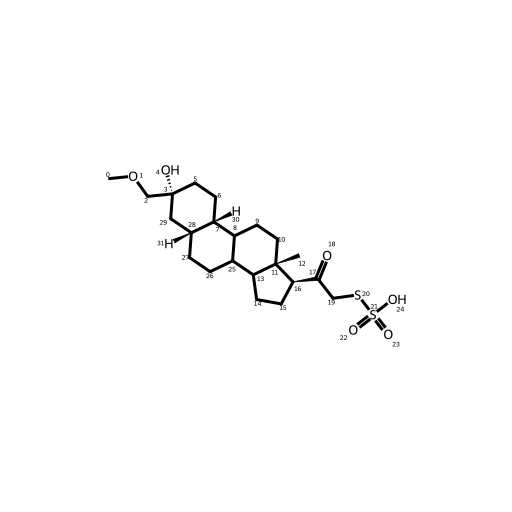 COC[C@@]1(O)CC[C@@H]2C3CC[C@@]4(C)C(CC[C@@H]4C(=O)CSS(=O)(=O)O)C3CC[C@@H]2C1